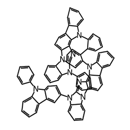 c1ccc(-n2c3ccccc3c3cc(-n4c5ccccc5n5c6ccc7c8ccccc8n(-c8ccccc8-c8ccccc8-n8c9ccccc9c9ccc%10c(nc%11n(-c%12ccccc%12)c%12ccccc%12n%10%11)c98)c7c6nc45)ccc32)cc1